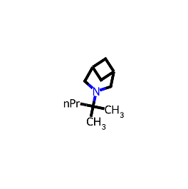 CCCC(C)(C)N1CC2CC(C2)C1